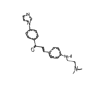 CN(C)CCNc1ccc(C=CC(=O)c2ccc(-n3ccnc3)cc2)cc1